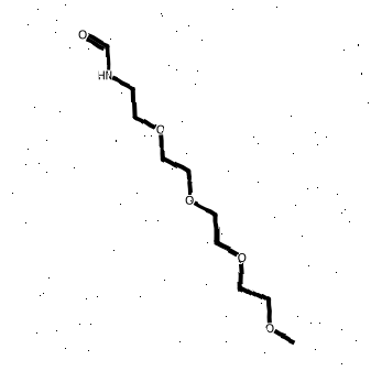 COCCOCCOCCOCCNC=O